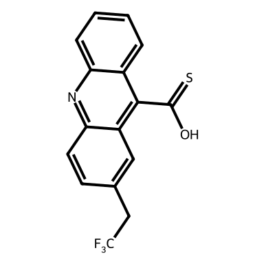 OC(=S)c1c2ccccc2nc2ccc(CC(F)(F)F)cc12